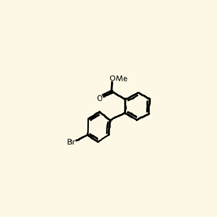 COC(=O)c1ccccc1-c1ccc(Br)cc1